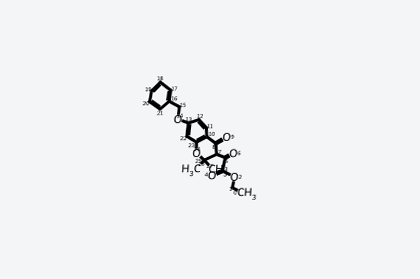 CCOC(=O)C(=O)C1C(=O)c2ccc(OCc3ccccc3)cc2OC1(C)C